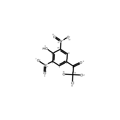 O=C(c1cc([N+](=O)[O-])c(O)c([N+](=O)[O-])c1)C(Cl)(Cl)Cl